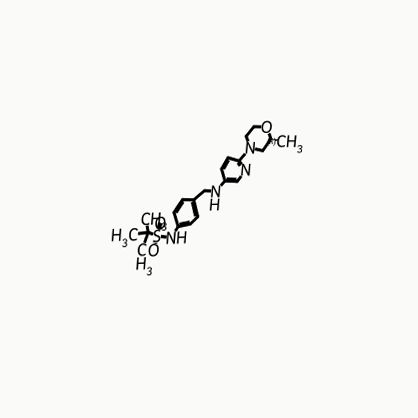 C[C@@H]1CN(c2ccc(NCc3ccc(NS(=O)(=O)C(C)(C)C)cc3)cn2)CCO1